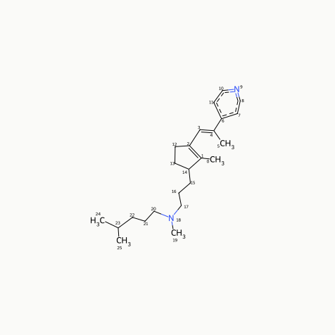 CC1=C(/C=C(\C)c2ccncc2)CCC1CCCN(C)CCCC(C)C